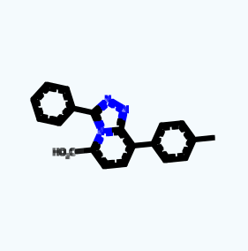 Cc1ccc(-c2ccc(C(=O)O)n3c(-c4ccccc4)nnc23)cc1